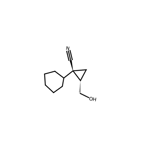 N#C[C@@]1(C2CCCCC2)C[C@@H]1CO